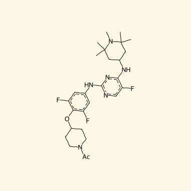 CC(=O)N1CCC(Oc2c(F)cc(Nc3ncc(F)c(NC4CC(C)(C)N(C)C(C)(C)C4)n3)cc2F)CC1